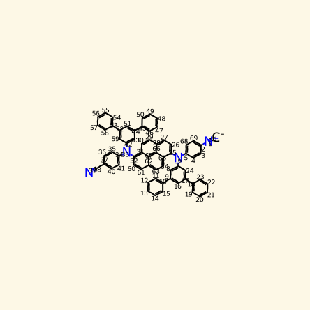 [C-]#[N+]c1ccc(N(c2cc(-c3ccccc3)cc(-c3ccccc3)c2)c2ccc3ccc4c(N(c5ccc(C#N)cc5)c5cc(-c6ccccc6)cc(-c6ccccc6)c5)ccc5ccc2c3c54)cc1